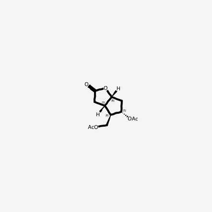 CC(=O)OC[C@H]1[C@@H]2CC(=O)O[C@@H]2C[C@@H]1OC(C)=O